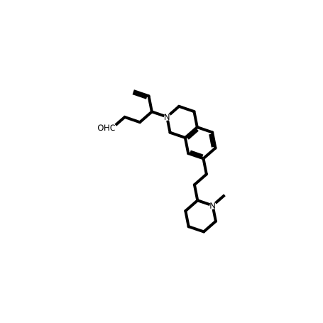 C=CC(CCC=O)N1CCc2ccc(CCC3CCCCN3C)cc2C1